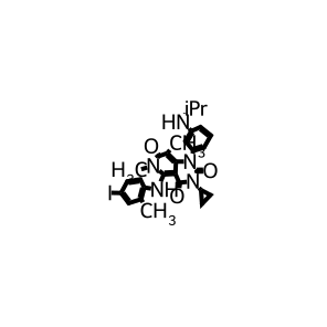 Cc1cc(I)ccc1Nc1c2c(=O)n(C3CC3)c(=O)n(-c3cccc(NC(C)C)c3)c2c(C)c(=O)n1C